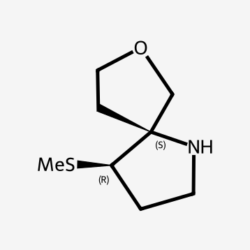 CS[C@@H]1CCN[C@]12CCOC2